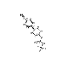 CC(C)(C)OC(=O)CN1CCN(c2ccc(C#N)cn2)CC1